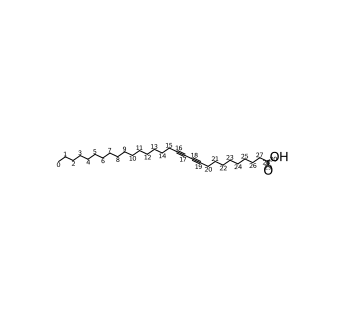 CCCCCCCCCCCCCCCCC#CC#CCCCCCCCCC(=O)O